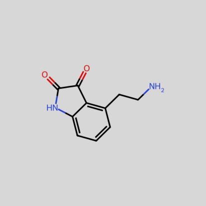 NCCc1cccc2c1C(=O)C(=O)N2